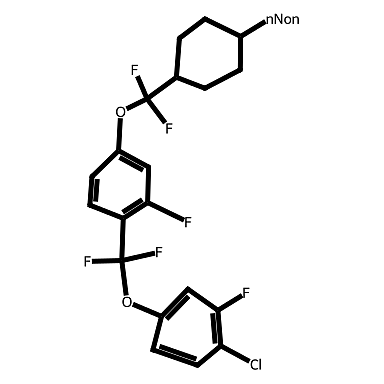 CCCCCCCCCC1CCC(C(F)(F)Oc2ccc(C(F)(F)Oc3ccc(Cl)c(F)c3)c(F)c2)CC1